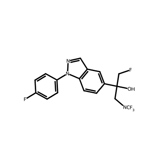 OC(CF)(CNC(F)(F)F)c1ccc2c(cnn2-c2ccc(F)cc2)c1